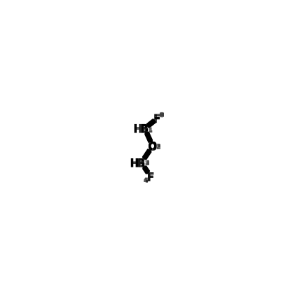 FBOBF